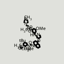 COc1cc(Nc2cc(Oc3ccc(NC(=O)Nc4cc(C(C)(C)C)cc(P(C)(C)=O)c4OC)c4ccccc34)ccn2)cc(S(=O)(=O)N(C)CCN2CCN(C)CC2)c1